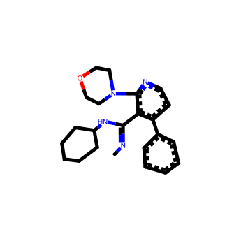 C/N=C(\NC1CCCCC1)c1c(-c2ccccc2)ccnc1N1CCOCC1